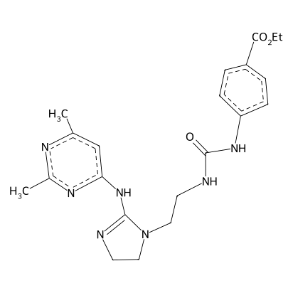 CCOC(=O)c1ccc(NC(=O)NCCN2CCN=C2Nc2cc(C)nc(C)n2)cc1